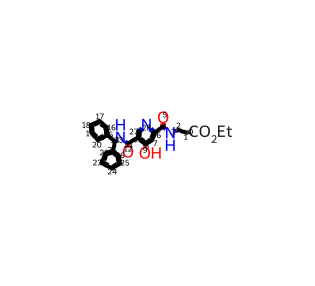 CCOC(=O)CCNC(=O)c1cc(O)c(C(=O)NC(c2ccccc2)c2ccccc2)cn1